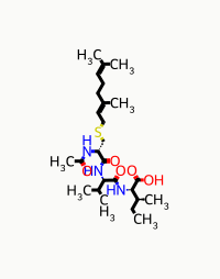 CC[C@H](C)[C@H](NC(=O)[C@@H](NC(=O)[C@@H](CSC/C=C(\C)CCC=C(C)C)NC(C)=O)C(C)C)C(=O)O